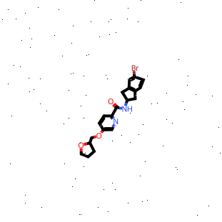 O=C(NC1Cc2ccc(Br)cc2C1)c1ccc(OCC2CCCO2)cn1